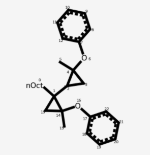 CCCCCCCCC1([C]2CC2(C)Oc2ccccc2)CC1(C)Oc1ccccc1